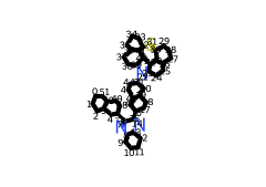 c1ccc2cc(-c3nc4ccccc4nc3-c3ccc4cc(-n5c6ccc7cccc8sc9cccc%10ccc5c(c%109)c6c78)ccc4c3)ccc2c1